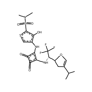 CC(C)C1=COC([C@H](Nc2c(Nc3csc(S(=O)(=O)N(C)C)c3O)c(=O)c2=O)C(F)(F)F)C1